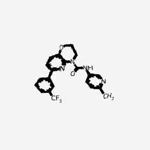 Cc1ccc(NC(=O)N2CCOc3ccc(-c4cccc(C(F)(F)F)c4)nc32)cn1